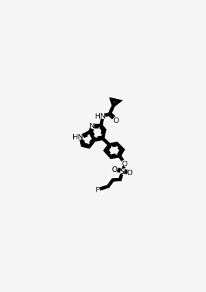 O=C(Nc1cc(-c2ccc(OS(=O)(=O)CCCF)cc2)c2cc[nH]c2n1)C1CC1